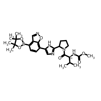 COC(=O)N[C@H](C(=O)N1CCCC1c1ncc(-c2ccc(B3OC(C)(C)C(C)(C)O3)c3cnoc23)[nH]1)C(C)C